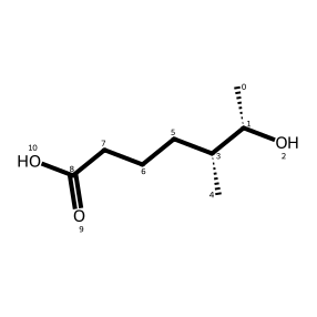 C[C@H](O)[C@H](C)CCCC(=O)O